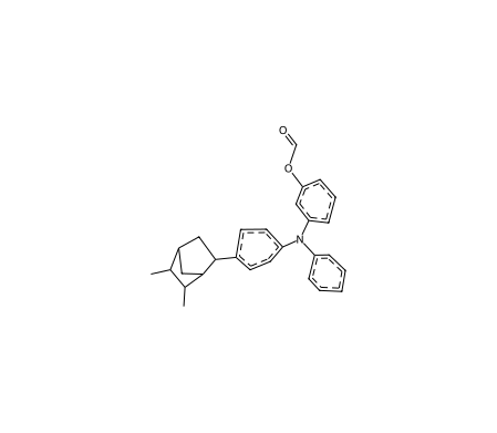 CC1C2CC(c3ccc(N(c4ccccc4)c4cccc(OC=O)c4)cc3)C(C2)C1C